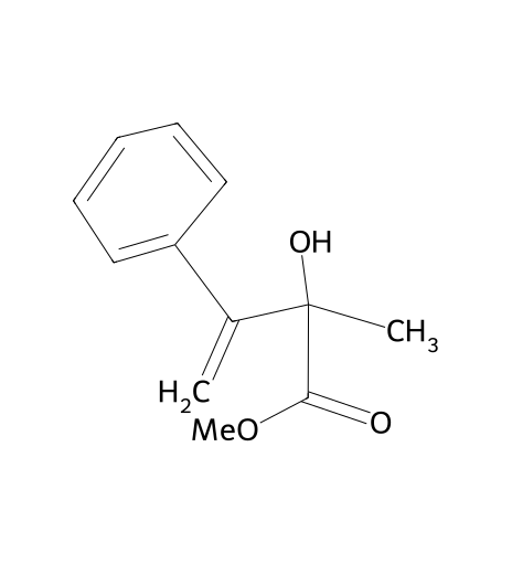 C=C(c1ccccc1)C(C)(O)C(=O)OC